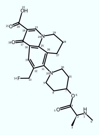 CN[C@@H](C)C(=O)OC1CCN(c2c(CF)cc3c(=O)c(C(=O)O)cn4c3c2CCC4)CC1